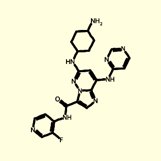 NC1CCC(Nc2cc(Nc3ccncn3)c3ncc(C(=O)Nc4ccncc4F)n3n2)CC1